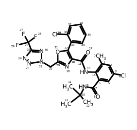 Cc1cc(Cl)cc(C(=O)NC(C)(C)C)c1NC(=O)c1nc(Cn2nnc(C(F)(F)F)n2)oc1-c1ccccc1Cl